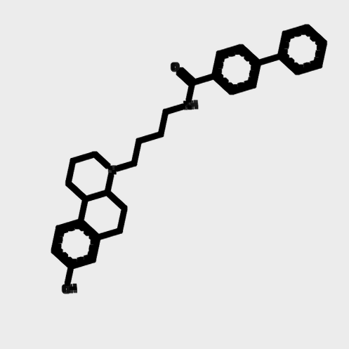 O=C(NCCCCN1CCCC2c3ccc(O)cc3CCC21)c1ccc(-c2ccccc2)cc1